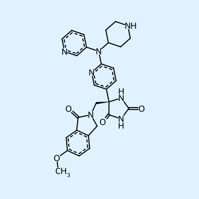 COc1ccc2c(c1)C(=O)N(C[C@@]1(c3ccc(N(c4cccnc4)C4CCNCC4)nc3)NC(=O)NC1=O)C2